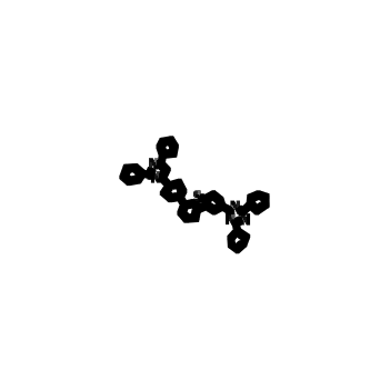 C1=CCCC(c2nc(-c3ccccc3)nc(-c3ccc4sc5c(-c6ccc(-c7cc(-c8ccccc8)nc(-c8ccccc8)n7)cc6)cccc5c4c3)n2)=C1